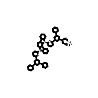 C#C/C=C(\C=C/C)c1cc(-c2ccccc2)cc(-c2cccc(-n3c4ccccc4c4ccc5c(c6ccccc6n5-c5cccc(-c6cc(-c7ccccc7)cc(-c7ccccc7)c6)n5)c43)n2)c1